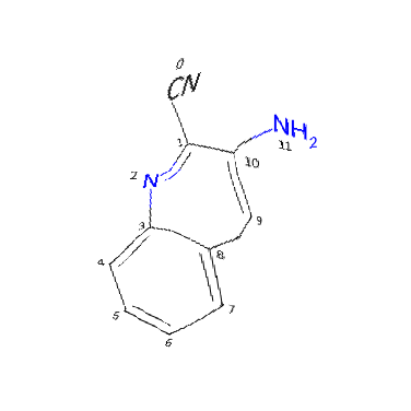 N#Cc1nc2ccccc2cc1N